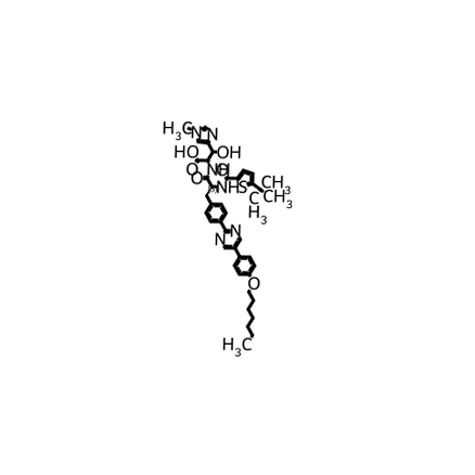 CCCCCCCOc1ccc(-c2cnc(-c3ccc(C[C@H](NC(=O)c4ccc(C(C)(C)C)s4)C(=O)NC(C(=O)O)C(O)c4cn(C)cn4)cc3)nc2)cc1